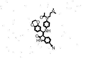 CC(=O)N(CCN(C)C)c1ccc(NC(=C2C(=O)Nc3cc(C#N)ccc32)c2ccc3c(c2)OCCO3)cc1